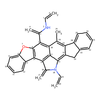 C=CNC(=C)c1c2oc3ccccc3c2c2c(=C)n(C=C)c3c4c(c(C)c1c23)-c1ccccc1C4